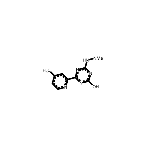 CNNc1nc(O)nc(-c2cc(C)ccn2)n1